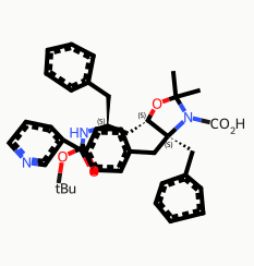 CC(C)(C)OC(=O)N[C@@H](Cc1ccccc1)C[C@@H]1OC(C)(C)N(C(=O)O)[C@@]1(Cc1ccccc1)Cc1ccc(-c2cccnc2)cc1